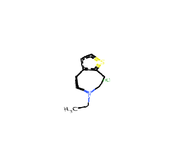 CCN1CCc2ccsc2CC1.Cl